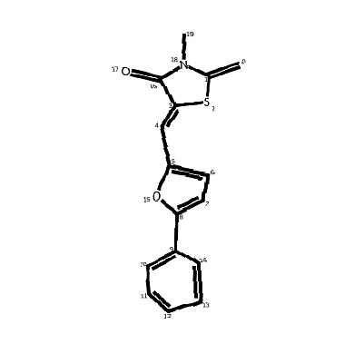 C=c1s/c(=C\c2ccc(-c3ccccc3)o2)c(=O)n1C